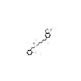 COc1ccccc1CCN(CCCCC(=O)c1ccc2c(c1)CCN2C)C(=O)O